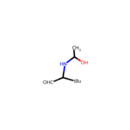 CC(O)NC([C]=O)C(C)(C)C